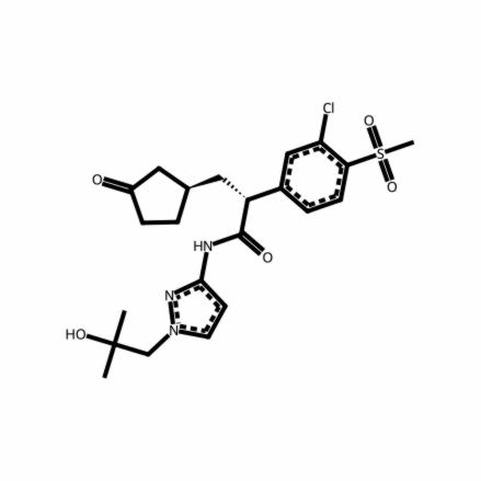 CC(C)(O)Cn1ccc(NC(=O)[C@H](C[C@H]2CCC(=O)C2)c2ccc(S(C)(=O)=O)c(Cl)c2)n1